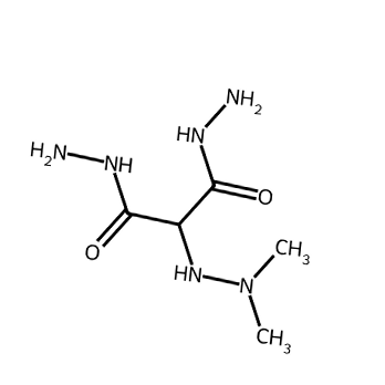 CN(C)NC(C(=O)NN)C(=O)NN